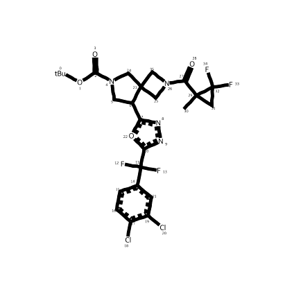 CC(C)(C)OC(=O)N1CC(c2nnc(C(F)(F)c3ccc(Cl)c(Cl)c3)o2)C2(C1)CN(C(=O)C1(C)CC1(F)F)C2